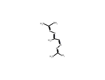 CC(/C=N\N=C(N)N)=N\N=C(N)N